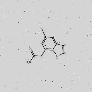 NC(=O)Cc1cc(F)cc2ccoc12